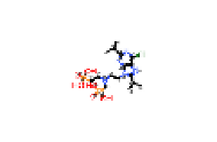 CC(C)c1nc(Cl)c2nc(C(C)C)n(CCN(CCP(=O)(O)O)CP(=O)(O)O)c2n1